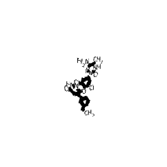 C=C1NC(=O)N(c2cc(Cl)c(Oc3n[nH]c(=O)cc3-c3cccc(CC)c3)c(Cl)c2)N=C1N